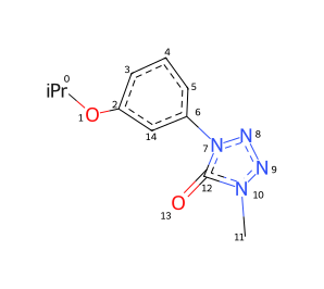 CC(C)Oc1cccc(-n2nnn(C)c2=O)c1